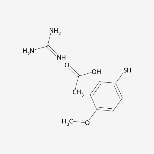 CC(=O)O.COc1ccc(S)cc1.N=C(N)N